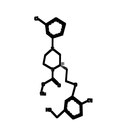 CC(C)(C)OC(=O)N1CCN(c2cccc(Cl)c2)C[C@@H]1CCOc1cc(CO)ccc1C#N